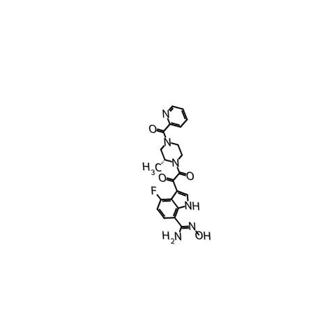 C[C@@H]1CN(C(=O)c2ccccn2)CCN1C(=O)C(=O)c1c[nH]c2c(C(N)=NO)ccc(F)c12